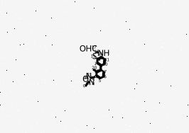 Cc1nc(-c2cccc(-c3ccc4c(c3)SC(C=O)N4)c2C)no1